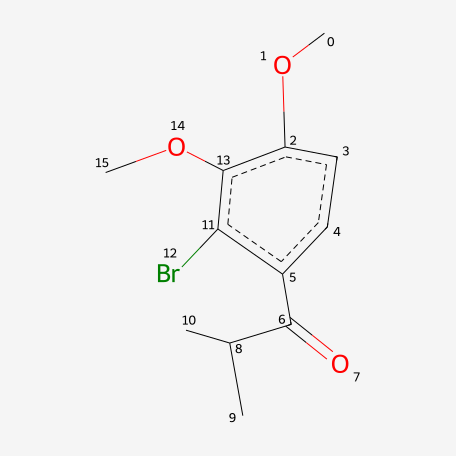 COc1ccc(C(=O)C(C)C)c(Br)c1OC